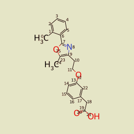 Cc1ccccc1-c1nc(CCOc2cccc(CC(=O)O)c2)c(C)o1